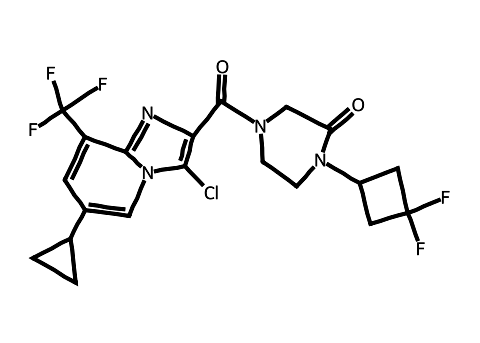 O=C(c1nc2c(C(F)(F)F)cc(C3CC3)cn2c1Cl)N1CCN(C2CC(F)(F)C2)C(=O)C1